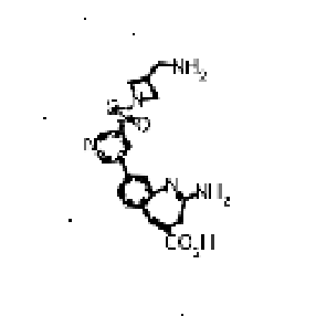 NCC1CN(S(=O)(=O)c2cncc(-c3ccc4c(c3)N=C(N)CC(C(=O)O)=C4)c2)C1